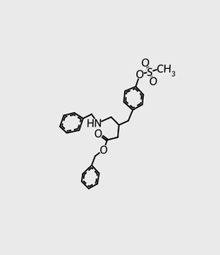 CS(=O)(=O)Oc1ccc(CC(CNCc2ccccc2)CC(=O)OCc2ccccc2)cc1